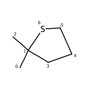 CC1(C)CC[CH]S1